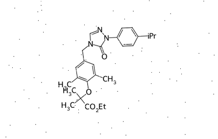 CCOC(=O)C(C)(C)Oc1c(C)cc(Cn2cnn(-c3ccc(C(C)C)cc3)c2=O)cc1C